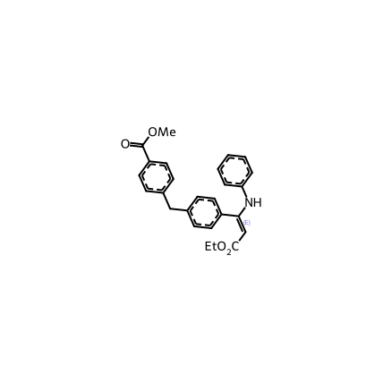 CCOC(=O)/C=C(/Nc1ccccc1)c1ccc(Cc2ccc(C(=O)OC)cc2)cc1